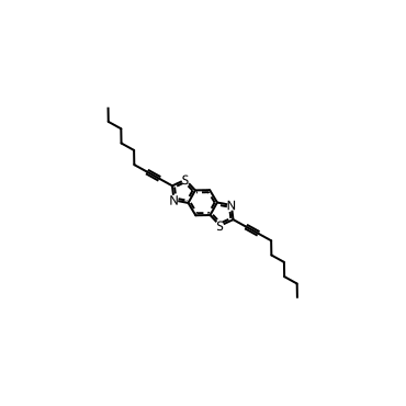 CCCCCCC#Cc1nc2cc3sc(C#CCCCCCC)nc3cc2s1